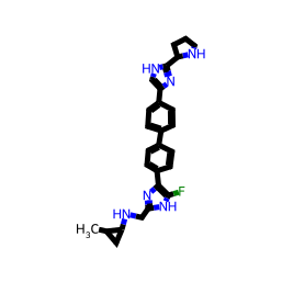 CC1CC1NCc1nc(-c2ccc(-c3ccc(-c4c[nH]c(C5CCCN5)n4)cc3)cc2)c(F)[nH]1